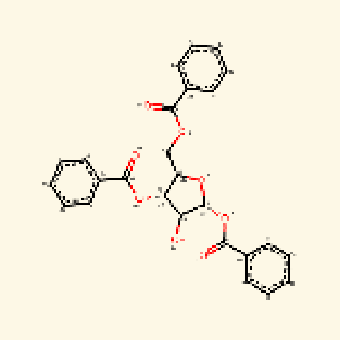 O=C(OC[C@H]1O[C@H](OC(=O)c2ccccc2)C(O)[C@@H]1OC(=O)c1ccccc1)c1ccccc1